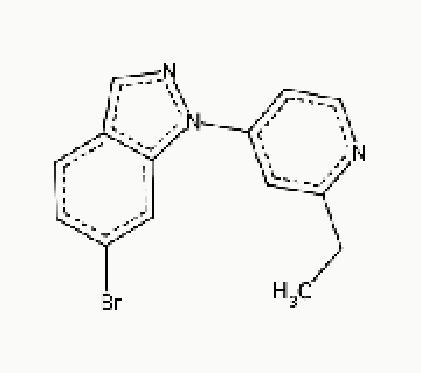 CCc1cc(-n2ncc3ccc(Br)cc32)ccn1